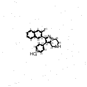 Cl.Fc1cc2ccccc2cc1-c1nn2c(c1-c1ccncc1)CNCC2